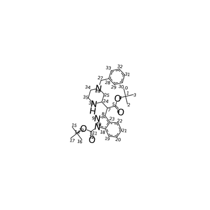 CC(C)(C)OC(=O)C(c1nn(C(=O)OC(C)(C)C)c2ccccc12)C1CN(Cc2ccccc2)CCN1